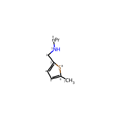 CCCNCc1ccc(C)s1